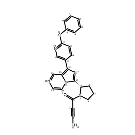 CC#CC(=O)N1CCC[C@H]1c1nc(-c2ccc(Oc3ccccc3)nc2)c2cnccn12